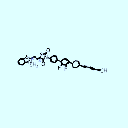 C#CC#CC#CC1CCC(c2ccc(-c3ccc(N4C(=O)S/C(=C\C=C5\Sc6ccccc6N5C)C4=O)cc3)c(F)c2F)CC1